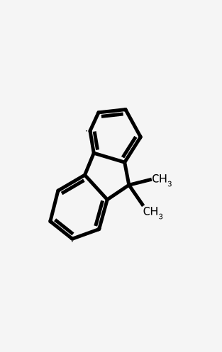 CC1(C)c2ccc[c]c2-c2cc[c]cc21